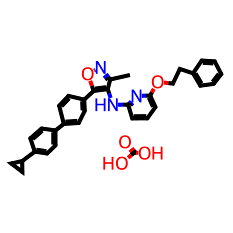 Cc1noc(-c2ccc(-c3ccc(C4CC4)cc3)cc2)c1Nc1cccc(OCCc2ccccc2)n1.O=C(O)O